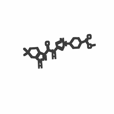 COC(=O)C1CCC(n2cc(NC(=O)c3n[nH]c4c3CCC(C)(C)C4)cn2)CC1